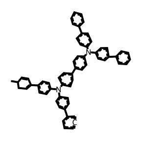 CC1C=CC(c2ccc(N(c3ccc(-c4ccccc4)cc3)c3ccc(-c4ccc(N(c5ccc(-c6ccccc6)cc5)c5ccc(-c6ccccc6)cc5)cc4)cc3)cc2)=CC1